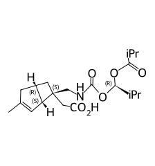 CC1=C[C@@H]2[C@H](C1)C[C@]2(CNC(=O)O[C@@H](OC(=O)C(C)C)C(C)C)CC(=O)O